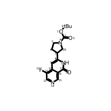 CC(C)(C)OC(=O)N1CCC(c2cc3c(F)cncc3c(=O)[nH]2)C1